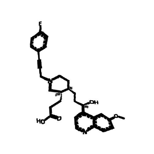 COc1ccc2nccc([C@H](O)CC[C@@H]3CCN(CC#Cc4ccc(F)cc4)C[C@H]3CCC(=O)O)c2c1